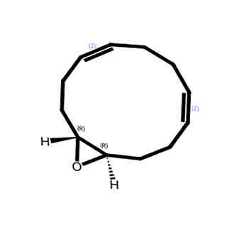 C1=C\CC[C@H]2O[C@@H]2CC/C=C\CC/1